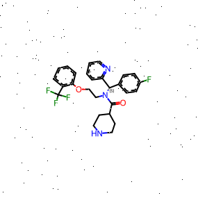 O=C(C1CCNCC1)N(CCOc1ccccc1C(F)(F)F)[C@@H](c1ccc(F)cc1)c1ccccn1